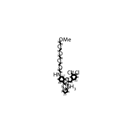 COCCOCCOCCOCCOCCNc1ccc([C@@H](CN2CCCC2)N(C)C(=O)Cc2ccc(Cl)c(Cl)c2)cc1